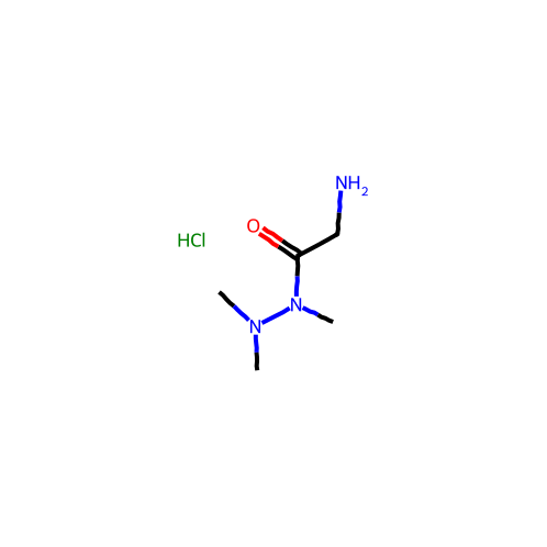 CN(C)N(C)C(=O)CN.Cl